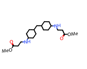 COC(=O)CCNC1CCC(CC2CCC(NCCC(=O)OC)CC2)CC1